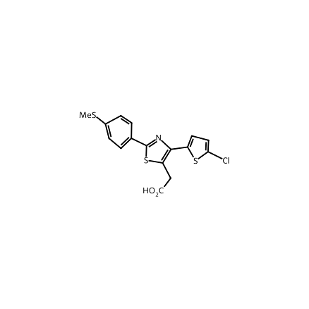 CSc1ccc(-c2nc(-c3ccc(Cl)s3)c(CC(=O)O)s2)cc1